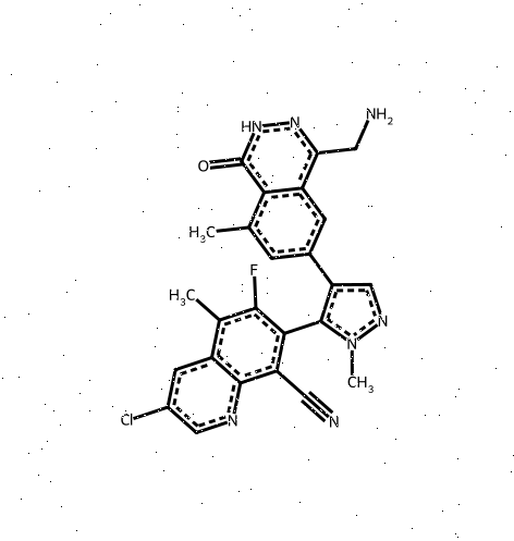 Cc1c(F)c(-c2c(-c3cc(C)c4c(=O)[nH]nc(CN)c4c3)cnn2C)c(C#N)c2ncc(Cl)cc12